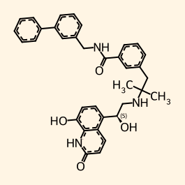 CC(C)(Cc1cccc(C(=O)NCc2cccc(-c3ccccc3)c2)c1)NC[C@@H](O)c1ccc(O)c2[nH]c(=O)ccc12